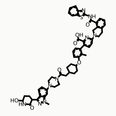 Cc1c(OC2CCC(CC(=O)N3CCN(c4ccc5c(C6CCC(O)NC6=O)nn(C)c5c4)CC3)CC2)cccc1-c1ccc(N2CCc3cccc(C(=O)Nc4nc5ccccc5s4)c3C2)nc1C(=O)O